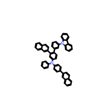 c1ccc(N(c2ccc(-c3ccc4ccccc4c3)cc2)c2ccc(-c3cccc(-n4c5ccccc5c5ccccc54)c3)c(-c3ccc4ccccc4c3)c2)cc1